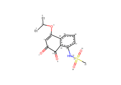 CCC(CC)OC1=CC(=O)C(=O)c2c(NS(C)(=O)=O)cccc21